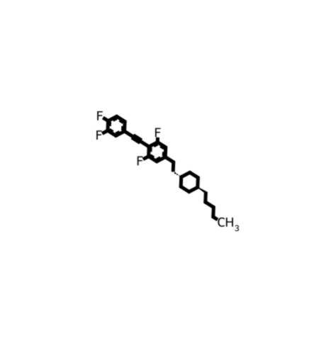 CCCCC[C@H]1CC[C@H](CCc2cc(F)c(C#Cc3ccc(F)c(F)c3)c(F)c2)CC1